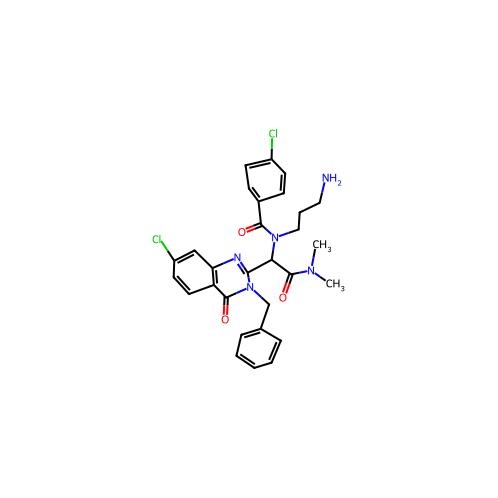 CN(C)C(=O)C(c1nc2cc(Cl)ccc2c(=O)n1Cc1ccccc1)N(CCCN)C(=O)c1ccc(Cl)cc1